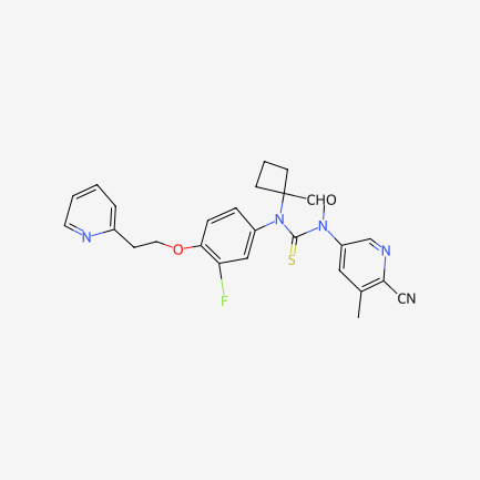 Cc1cc(N(C)C(=S)N(c2ccc(OCCc3ccccn3)c(F)c2)C2(C=O)CCC2)cnc1C#N